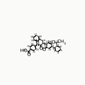 CC(O)c1ccccc1-c1ccn(C(Cc2ccccc2)C(=O)Nc2ccc(C(=O)O)cc2)c(=O)c1